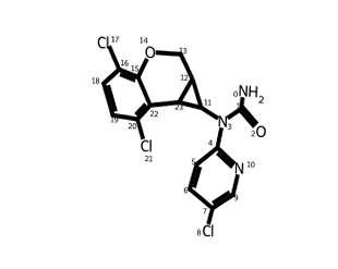 NC(=O)N(c1ccc(Cl)cn1)C1C2COc3c(Cl)ccc(Cl)c3C21